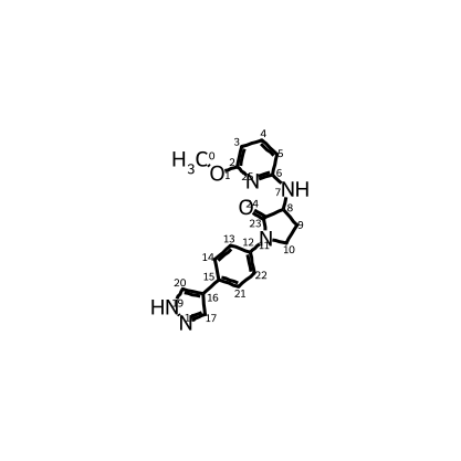 COc1cccc(NC2CCN(c3ccc(-c4cn[nH]c4)cc3)C2=O)n1